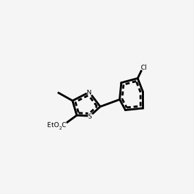 CCOC(=O)c1sc(-c2cccc(Cl)c2)nc1C